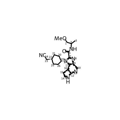 COCC(C)NC(=O)c1nc2cnc3[nH]ccc3c2n1[C@H]1CC[C@H](CC#N)CC1